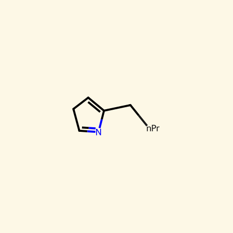 CCCCC1=CCC=N1